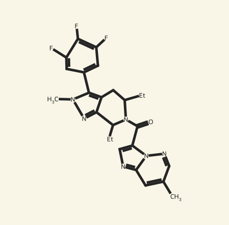 CCC1Cc2c(nn(C)c2-c2cc(F)c(F)c(F)c2)C(CC)N1C(=O)c1cnc2cc(C)cnn12